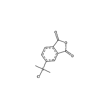 C[Si](C)(Cl)c1ccc2c(c1)C(=O)OC2=O